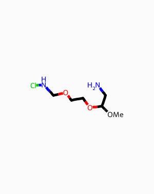 COC(CN)OCCOCNCl